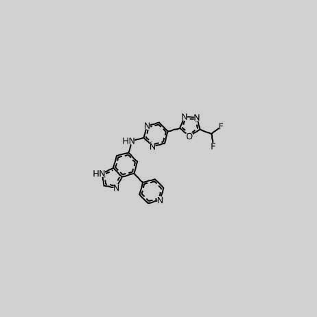 FC(F)c1nnc(-c2cnc(Nc3cc(-c4ccncc4)c4nc[nH]c4c3)nc2)o1